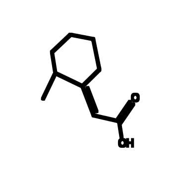 CC1CCCCC1=CC(=O)O